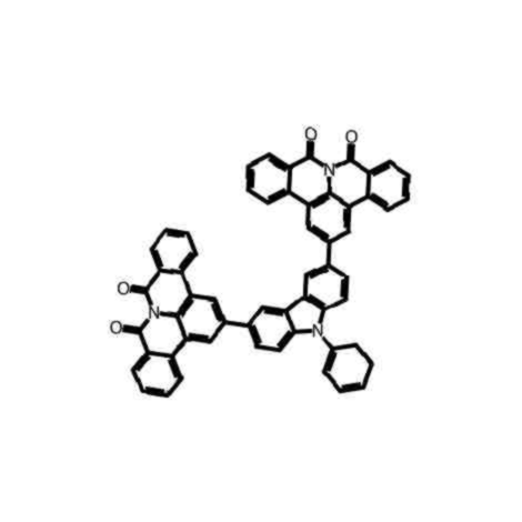 O=c1c2ccccc2c2cc(-c3ccc4c(c3)c3cc(-c5cc6c7ccccc7c(=O)n7c(=O)c8ccccc8c(c5)c67)ccc3n4C3=CC=CCC3)cc3c4ccccc4c(=O)n1c23